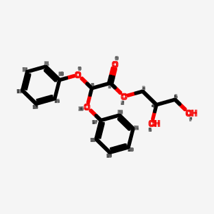 O=C(OCC(O)CO)C(Oc1ccccc1)Oc1ccccc1